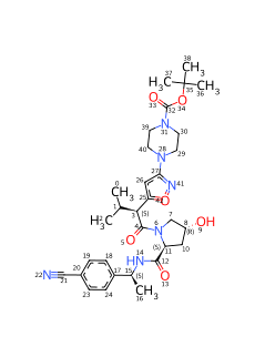 CC(C)[C@H](C(=O)N1C[C@H](O)C[C@H]1C(=O)N[C@@H](C)c1ccc(C#N)cc1)c1cc(N2CCN(C(=O)OC(C)(C)C)CC2)no1